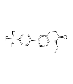 CCN1C(=O)CCc2cc(-c3ccc(C(F)(F)F)cc3)ccc21